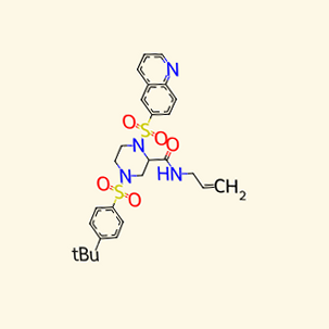 C=CCNC(=O)C1CN(S(=O)(=O)c2ccc(C(C)(C)C)cc2)CCN1S(=O)(=O)c1ccc2ncccc2c1